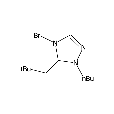 CCCCN1N=CN(Br)C1CC(C)(C)C